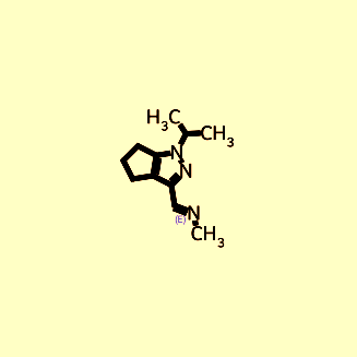 C/N=C/c1nn(C(C)C)c2c1CCC2